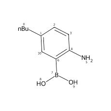 CCCCc1ccc(N)c(B(O)O)c1